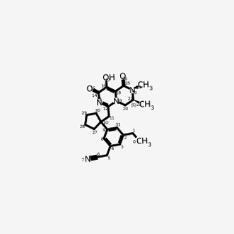 CCc1cc(CC#N)cc(C2(Cc3nc(=O)c(O)c4n3C[C@H](C)N(C)C4=O)CCCC2)c1